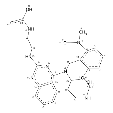 COc1cccc(N(C)C)c1CN(c1nc(NCCNC(=O)O)nc2ccccc12)C1CCNCC1